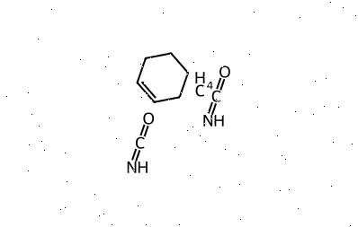 C.C1=CCCCC1.N=C=O.N=C=O